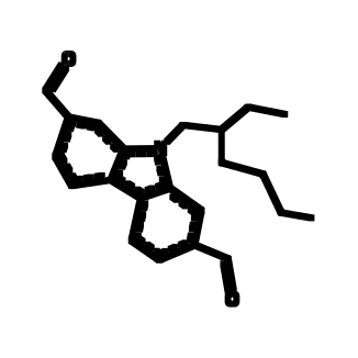 CCCCC(CC)Cn1c2cc(C=O)ccc2c2ccc(C=O)cc21